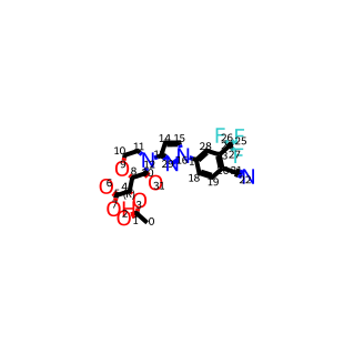 CC(=O)O[C@@H](C(=O)O)C1OCCN(c2ccn(-c3ccc(C#N)c(C(F)(F)F)c3)n2)C1=O